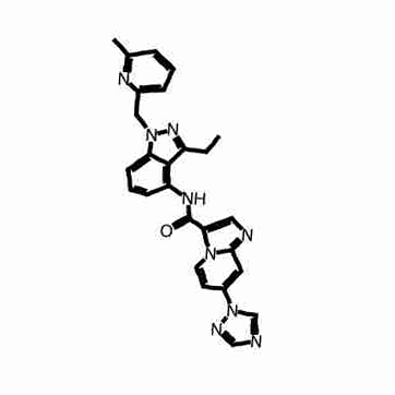 CCc1nn(Cc2cccc(C)n2)c2cccc(NC(=O)c3cnc4cc(-n5cncn5)ccn34)c12